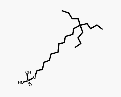 CCCCC(CCCC)(CCCC)CCCCCCCCCCCOP(=O)(O)O